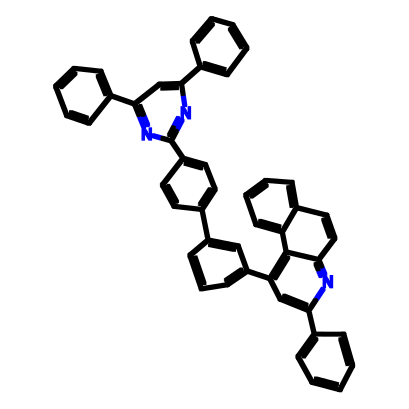 c1ccc(-c2cc(-c3ccccc3)nc(-c3ccc(-c4cccc(-c5cc(-c6ccccc6)nc6ccc7ccccc7c56)c4)cc3)n2)cc1